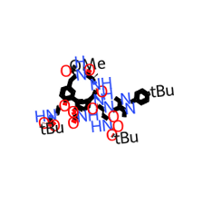 COC(=O)[C@@H]1Cc2ccc(OCCNC(=O)OC(C)(C)C)c(c2)-c2cc(cc3[nH]c(=O)oc23)[C@H](N(C)C(=O)[C@H](CCNC(=O)OC(C)(C)C)NC(=O)c2c(C)nc(-c3ccc(C(C)(C)C)cc3)nc2C)C(=O)N[C@@H](C)C(=O)N1